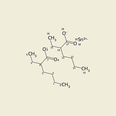 CCCCC(CC)C(=O)[O-].CCCCC(CC)C(=O)[O-].[Sn+3]